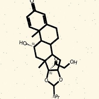 CCCC1OC2CC3C4CCC5=CC(=O)C=CC5(C)C4[C@@H](O)CC3(C)[C@]2(C(=O)CO)O1